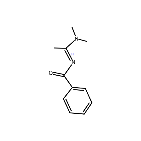 C/C(=N\C(=O)c1ccccc1)N(C)C